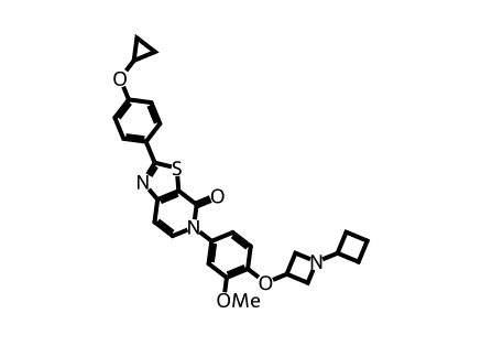 COc1cc(-n2ccc3nc(-c4ccc(OC5CC5)cc4)sc3c2=O)ccc1OC1CN(C2CCC2)C1